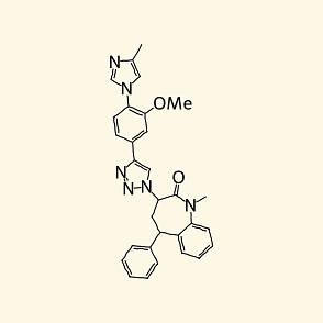 COc1cc(-c2cn(C3CC(c4ccccc4)c4ccccc4N(C)C3=O)nn2)ccc1-n1cnc(C)c1